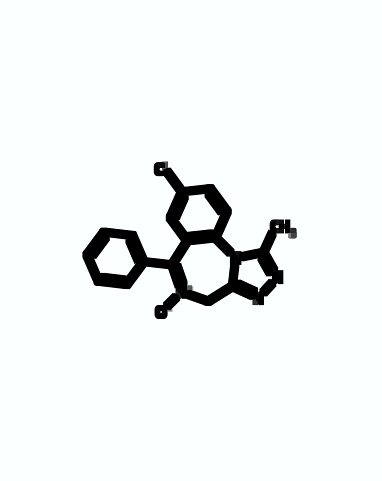 Cc1nnc2n1-c1ccc(Cl)cc1C(c1ccccc1)=[N+]([O-])C2